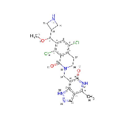 COC(c1cc(Cl)c2c(c1Cl)C(=O)N(Cc1c(=O)[nH]c(C)c3cn[nH]c13)CC2)C1CNC1